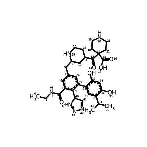 CCNC(=O)c1cc(CC2CC(C(=O)C3(C(=O)O)CCNCC3)CCN2)cc(-c2cc(C(C)C)c(O)cc2O)c1C1C=NN=N1